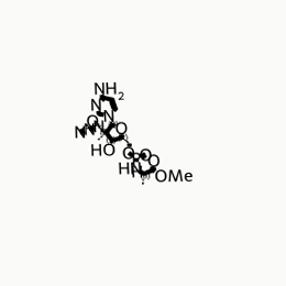 COC(=O)[C@H](C)N[PH](=O)OC[C@H]1O[C@@H](n2ccc(N)nc2=O)[C@](C)(N=[N+]=[N-])[C@@H]1O